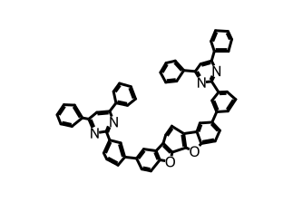 c1ccc(-c2cc(-c3ccccc3)nc(-c3cccc(-c4ccc5oc6c(ccc7c8cc(-c9cccc(-c%10nc(-c%11ccccc%11)cc(-c%11ccccc%11)n%10)c9)ccc8oc76)c5c4)c3)n2)cc1